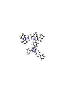 c1ccc(-c2ccc(-c3cc(-c4ccc(-c5nc6c(-c7ccc(-n8c9ccccc9c9ccccc98)cc7)cccc6c6c5ccc5ccccc56)cc4)nc(-c4ccccc4)n3)cc2)cc1